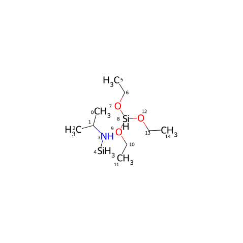 CC(C)N[SiH3].CCO[SiH](OCC)OCC